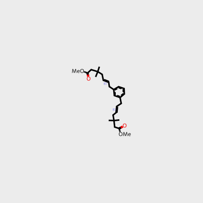 COC(=O)CC(C)(C)C/C=C/Cc1cccc(C/C=C/CC(C)(C)CC(=O)OC)c1